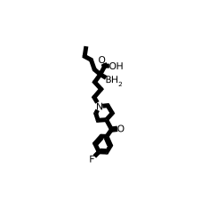 BC(CCCC)(CCCN1CCC(C(=O)c2ccc(F)cc2)CC1)C(=O)O